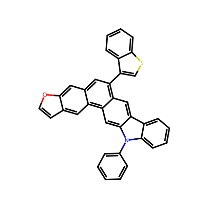 c1ccc(-n2c3ccccc3c3cc4c(-c5csc6ccccc56)cc5cc6occc6cc5c4cc32)cc1